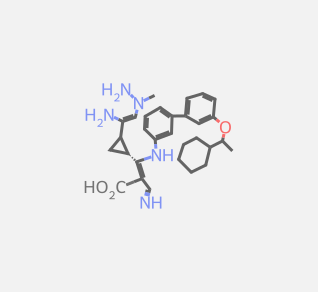 CC(Oc1cccc(-c2cccc(N/C(=C(\C=N)C(=O)O)[C@@H]3CC3/C(N)=C/N(C)N)c2)c1)C1CCCCC1